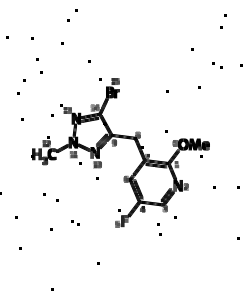 COc1ncc(F)cc1Cc1nn(C)nc1Br